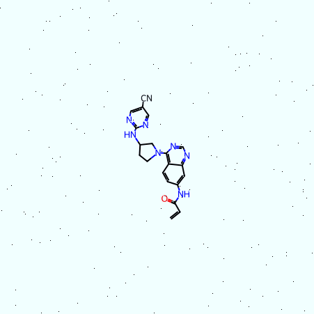 C=CC(=O)Nc1ccc2c(N3CCC(Nc4ncc(C#N)cn4)C3)ncnc2c1